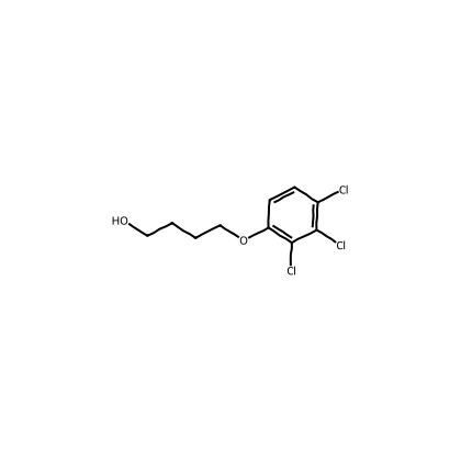 OCCCCOc1ccc(Cl)c(Cl)c1Cl